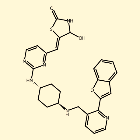 O=C1NC(O)/C(=C/c2ccnc(N[C@H]3CC[C@H](NCc4cccnc4-c4cc5ccccc5o4)CC3)n2)S1